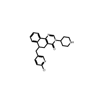 O=c1c2c(ncn1C1CCNCC1)-c1ccccc1C(Cc1ccc(Cl)nc1)C2